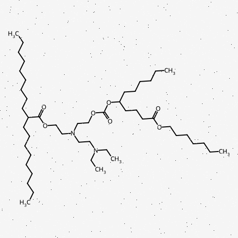 CCCCCCCCCC(CCCCCCCCC)C(=O)OCCN(CCOC(=O)OC(CCCCCC)CCCC(=O)OCCCCCCC)CCN(CC)CC